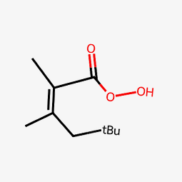 CC(CC(C)(C)C)=C(C)C(=O)OO